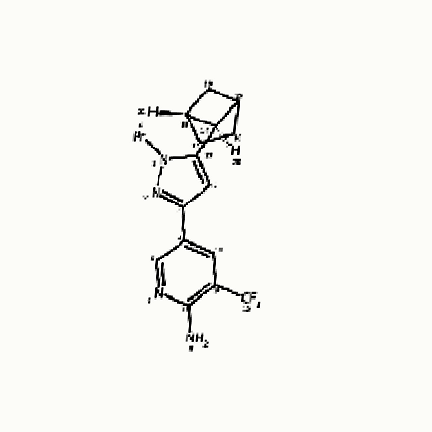 CC(C)n1nc(-c2cnc(N)c(C(F)(F)F)c2)cc1[C@@H]1C2CC[C@@H]1C2